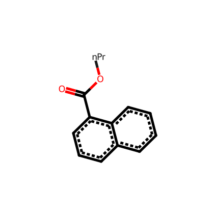 CCCOC(=O)c1cccc2ccccc12